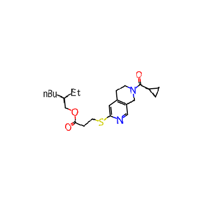 CCCCC(CC)COC(=O)CCSc1cc2c(cn1)CN(C(=O)C1CC1)CC2